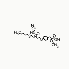 CCCCCSCCN(CCOc1ccc(CC(OCC)C(=O)O)cc1)C(=O)NCC